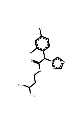 CC(C)CCOC(=O)C(c1ccc(Cl)cc1Cl)n1cncn1